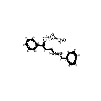 O=C(CCNNCc1ccccc1)c1ccccc1.O=CO